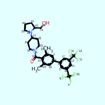 Cc1cc(-c2cc(C(F)(F)F)cc(C(F)(F)F)c2)cc(C)c1C(=O)N1CCC(N2CCCC2CO)CC1